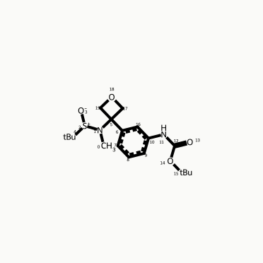 CN([S+]([O-])C(C)(C)C)C1(c2cccc(NC(=O)OC(C)(C)C)c2)COC1